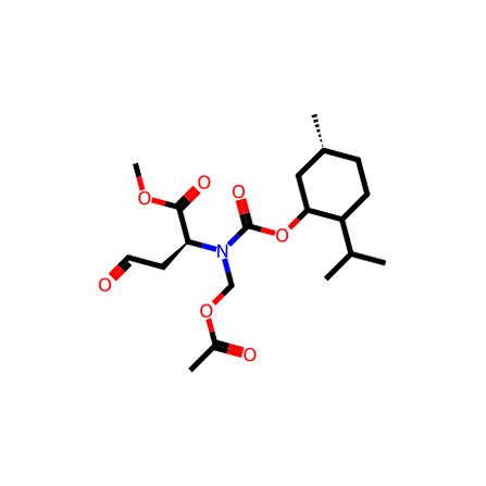 COC(=O)[C@H](CC=O)N(COC(C)=O)C(=O)OC1C[C@H](C)CCC1C(C)C